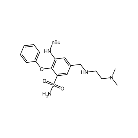 CCCCNc1cc(CNCCN(C)C)cc(S(N)(=O)=O)c1Oc1ccccc1